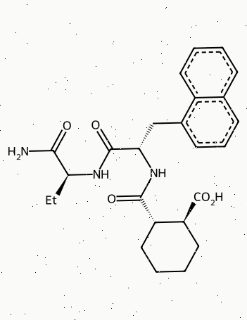 CC[C@H](NC(=O)[C@H](Cc1cccc2ccccc12)NC(=O)[C@H]1CCCC[C@@H]1C(=O)O)C(N)=O